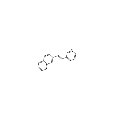 C(=Cc1ccc2ccccc2c1)c1cccnc1